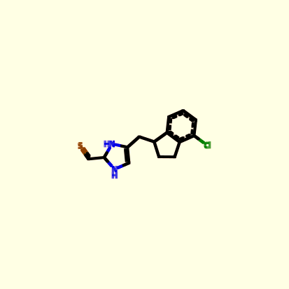 S=CC1NC=C(CC2CCc3c(Cl)cccc32)N1